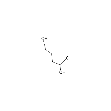 OCCCC(O)Cl